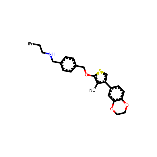 CC(C)CCNCc1ccc(COc2scc(-c3ccc4c(c3)OCCO4)c2C#N)cc1